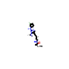 CCCN(C)c1nc(Nc2cccc(F)c2)ncc1C#CCCCNC(=O)[C@H](C)NC